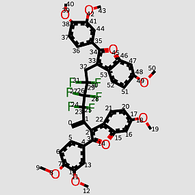 C=C(c1c(-c2ccc(OC)c(OC)c2)oc2cc(OC)ccc12)C(F)(F)C(F)(F)C(F)(F)Cc1c(-c2ccc(OC)c(OC)c2)oc2cc(OC)ccc12